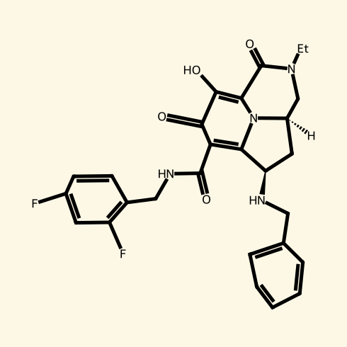 CCN1C[C@H]2C[C@@H](NCc3ccccc3)c3c(C(=O)NCc4ccc(F)cc4F)c(=O)c(O)c(n32)C1=O